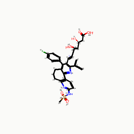 CC(C)c1nc2c(c(-c3ccc(F)cc3)c1/C=C/[C@@H](O)C[C@@H](O)CC(=O)O)CCCc1nc(NS(C)(=O)=O)ccc1-2